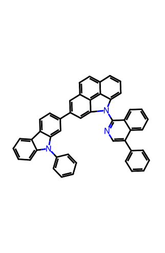 c1ccc(-c2cnc(-n3c4cccc5ccc6cc(-c7ccc8c9ccccc9n(-c9ccccc9)c8c7)cc3c6c54)c3ccccc23)cc1